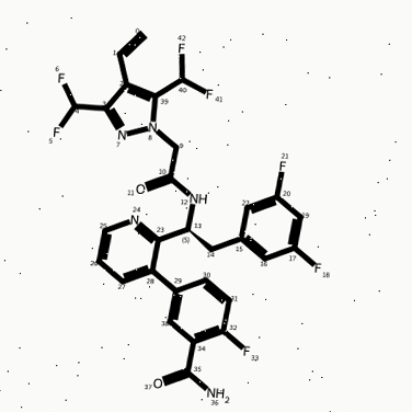 C=Cc1c(C(F)F)nn(CC(=O)N[C@@H](Cc2cc(F)cc(F)c2)c2ncccc2-c2ccc(F)c(C(N)=O)c2)c1C(F)F